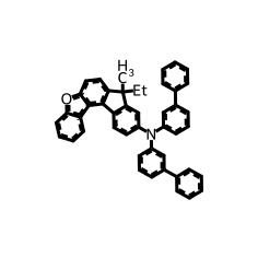 CCC1(C)c2cc(N(c3cccc(-c4ccccc4)c3)c3cccc(-c4ccccc4)c3)ccc2-c2c1ccc1oc3ccccc3c21